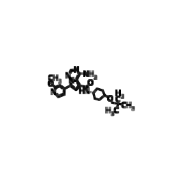 COc1cc(-c2cc(C(=O)N[C@H]3CC[C@H](OCC(C)(C)C)CC3)c3c(N)ncnn23)ccn1